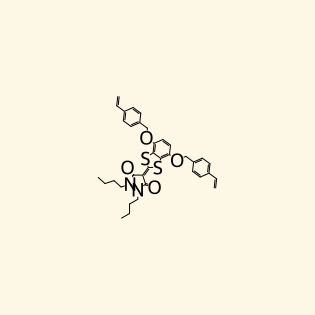 C=Cc1ccc(COc2ccc(OCc3ccc(C=C)cc3)c3c2SC(=C2C(=O)N(CCCC)N(CCCC)C2=O)S3)cc1